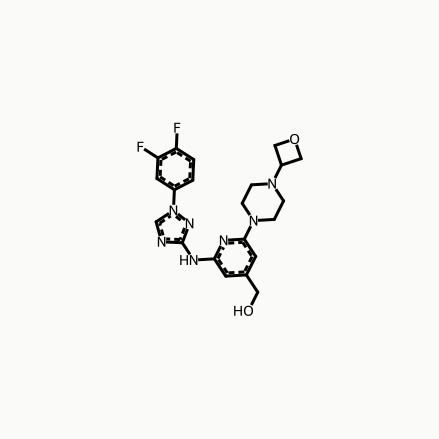 OCc1cc(Nc2ncn(-c3ccc(F)c(F)c3)n2)nc(N2CCN(C3COC3)CC2)c1